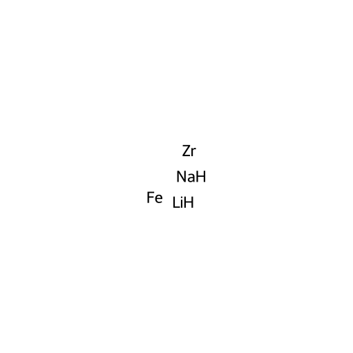 [Fe].[LiH].[NaH].[Zr]